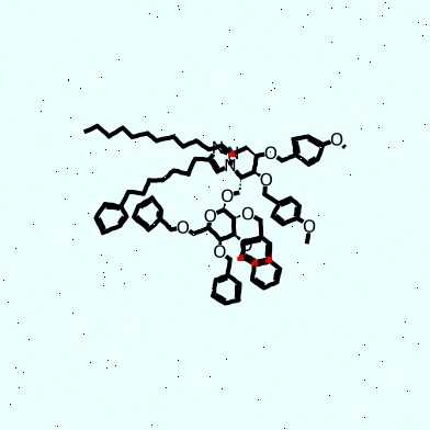 CCCCCCCCCCCCCC[C@@H](OCc1ccc(OC)cc1)[C@@H](OCc1ccc(OC)cc1)[C@H](CO[C@H]1OC(COCc2ccccc2)[C@H](OCc2ccccc2)[C@H](OCc2ccccc2)[C@H]1OCc1ccccc1)n1cc(CCCCCCCc2ccccc2)nn1